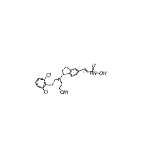 O=C(/C=C/c1ccc2c(c1)CCC2N(CCO)CCc1c(Cl)cccc1Cl)NO